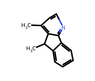 Cc1ccnc2c1C(C)c1ccccc1-2